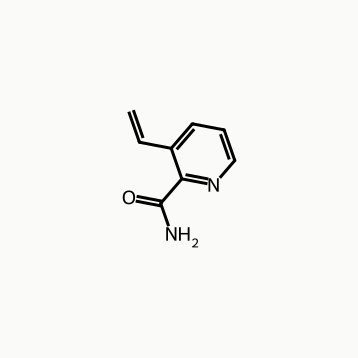 C=Cc1cccnc1C(N)=O